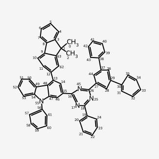 CC1(C)c2ccccc2-c2ccc(-c3cc(-c4nc(-c5ccccc5)nc(-c5cc(-c6ccccc6)cc(-c6ccccc6)c5)n4)cc4c3c3ccccc3n4-c3ccccc3)cc21